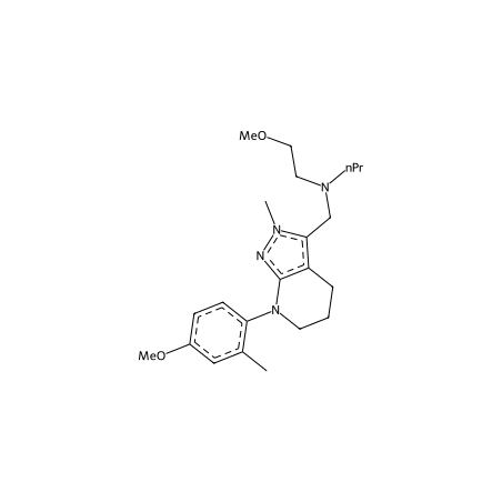 CCCN(CCOC)Cc1c2c(nn1C)N(c1ccc(OC)cc1C)CCC2